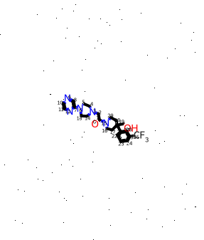 O=C(CN1CCN(c2cnccn2)CC1)N1CCC(CO)(c2cccc(C(F)(F)F)c2)CC1